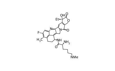 CC[C@@]1(O)C(=O)OCc2c1cc1n(c2=O)Cc2c-1nc1cc(F)c(C)c3c1c2[C@@H](NC(=O)[C@@H](N)CCCCNC)CC3